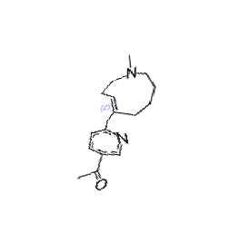 CC(=O)c1ccc(/C2=C\CCN(C)CCCC2)nc1